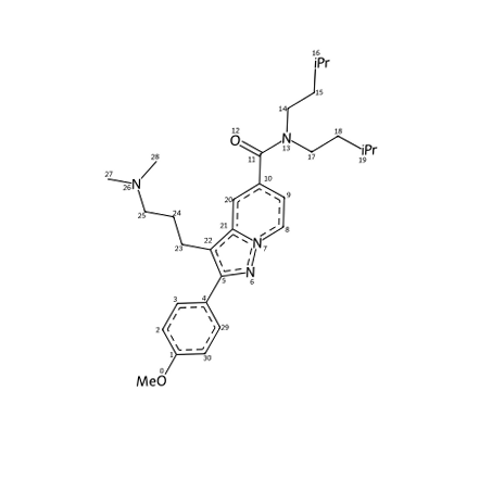 COc1ccc(-c2nn3ccc(C(=O)N(CCC(C)C)CCC(C)C)cc3c2CCCN(C)C)cc1